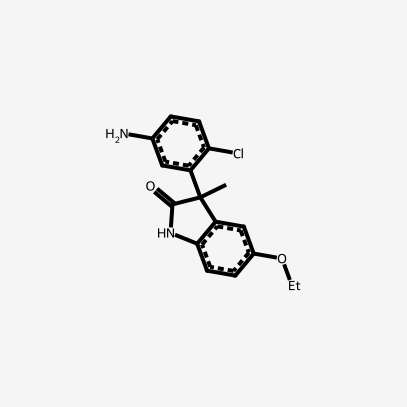 CCOc1ccc2c(c1)C(C)(c1cc(N)ccc1Cl)C(=O)N2